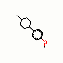 [CH2]C1CCC(c2ccc(OC)cc2)CC1